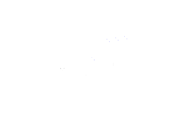 COc1c(C)n(CCN=[N+]=[N-])c(C)cc1=O